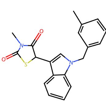 Cc1cccc(Cn2cc(C3SC(=O)N(C)C3=O)c3ccccc32)c1